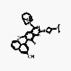 CN(C)C1CN(c2nc(N3CC4CCC(C3)N4)c3cc(Cl)c(C4=CC(O)=CC5C=CC=CC45)c(F)c3n2)C1